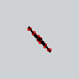 C=CC(=O)OCCCCCC(=O)Oc1ccc2cc(C(=O)O[C@@H]3CO[C@H]4[C@@H]3OC[C@H]4OC(=O)c3ccc4cc(OC(=O)CCCCCOC(=O)C=C)ccc4c3)ccc2c1